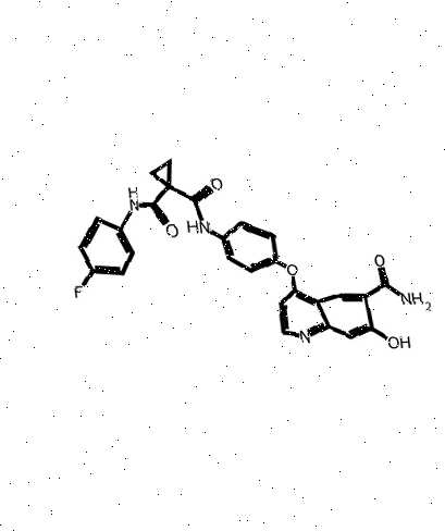 NC(=O)c1cc2c(Oc3ccc(NC(=O)C4(C(=O)Nc5ccc(F)cc5)CC4)cc3)ccnc2cc1O